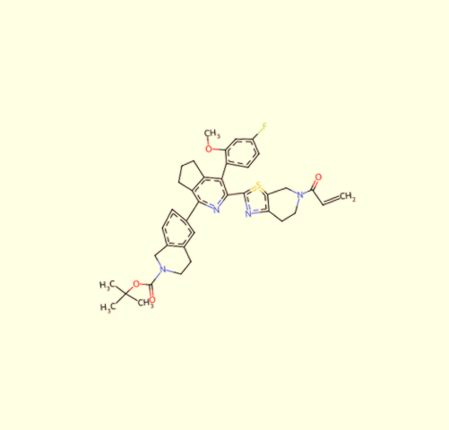 C=CC(=O)N1CCc2nc(-c3nc(-c4ccc5c(c4)CCN(C(=O)OC(C)(C)C)C5)c4c(c3-c3ccc(F)cc3OC)CCC4)sc2C1